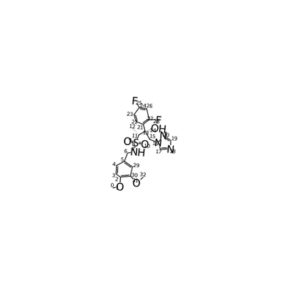 COc1ccc(CNS(=O)(=O)[C@H](C)[C@](O)(Cn2cncn2)c2ccc(F)cc2F)cc1OC